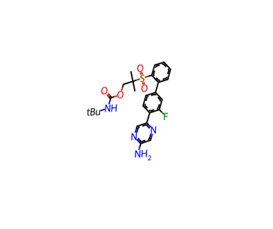 CC(C)(C)NC(=O)OCC(C)(C)S(=O)(=O)c1ccccc1-c1ccc(-c2cnc(N)cn2)c(F)c1